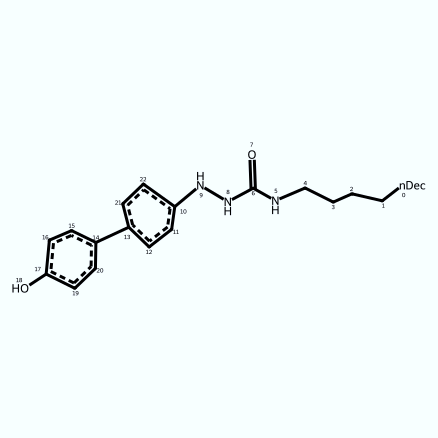 CCCCCCCCCCCCCCNC(=O)NNc1ccc(-c2ccc(O)cc2)cc1